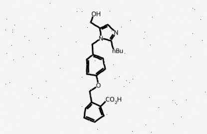 CCCCc1ncc(CO)n1Cc1ccc(OCc2ccccc2C(=O)O)cc1